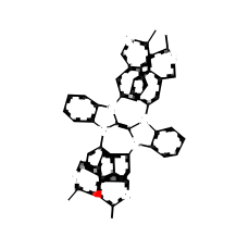 Cc1cc2ccc(N3C(=C4N(c5ccc6cc(C)ncc6c5)c5ccccc5N4c4ccc5cc(C)ncc5c4)N(c4ccc5cc(C)ncc5c4)c4ccccc43)cc2cn1